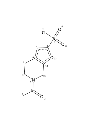 CC(=O)N1CCc2cc(S(=O)(=O)Cl)oc2C1